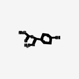 CN=C(CC(=O)OC)c1ccc(O)cc1